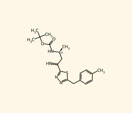 Cc1ccc(Cc2nnc(C(=N)C[C@H](C)NC(=O)OC(C)(C)C)s2)cc1